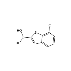 OB(O)c1cc2cccc(Cl)c2s1